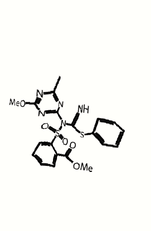 COC(=O)c1ccccc1S(=O)(=O)N(C(=N)Sc1ccccc1)c1nc(C)nc(OC)n1